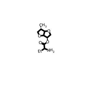 CCC(N)C(=O)O[C@@H]1COC2C1OC[C@@H]2C